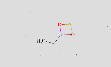 CCI1OSO1